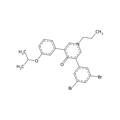 CCCn1cc(-c2cc(Br)cc(Br)c2)c(=O)c(-c2cccc(OC(C)C)c2)c1